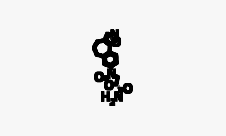 NC(=O)[C@H]1CN(c2ccc3c(c2)CCCc2cnoc2-3)C(=O)O1